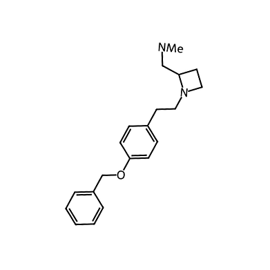 CNCC1CCN1CCc1ccc(OCc2ccccc2)cc1